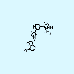 Cc1[nH]nnc1-c1ccnc(-c2cn(C[C@H]3COc4c(C(C)C)cccc43)cn2)c1